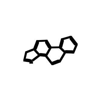 C1=Nc2c(ccc3c2ccc2ccccc23)C1